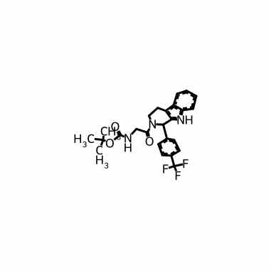 CC(C)(C)OC(=O)NCC(=O)N1CCc2c([nH]c3ccccc23)C1c1ccc(C(F)(F)F)cc1